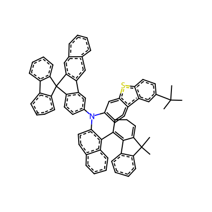 CC(C)(C)c1ccc2sc3c(c2c1)=C=C=C(N(c1ccc2c(c1)-c1cc4ccccc4cc1C21c2ccccc2-c2ccccc21)c1ccc2ccccc2c1C1=C2C(=CCC1)C(C)(C)c1ccccc12)C=3